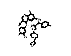 N#Cc1cnc2c(Cl)cc(N[C@@H](c3ccc(F)cc3)c3cn(C4CCN(C5COC5)CC4)nn3)cc2c1Nc1ccc(F)c(Cl)c1